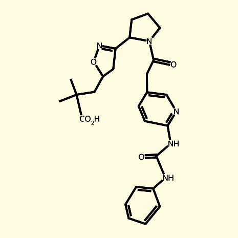 CC(C)(CC1CC(C2CCCN2C(=O)Cc2ccc(NC(=O)Nc3ccccc3)nc2)=NO1)C(=O)O